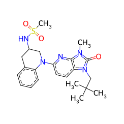 Cn1c(=O)n(CC(C)(C)C)c2ccc(N3CC(NS(C)(=O)=O)Cc4ccccc43)nc21